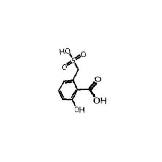 O=C(O)c1c(O)cccc1CS(=O)(=O)O